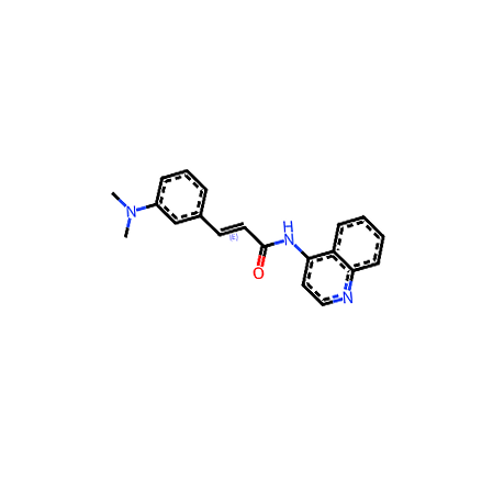 CN(C)c1cccc(/C=C/C(=O)Nc2ccnc3ccccc23)c1